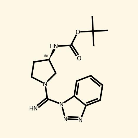 CC(C)(C)OC(=O)N[C@@H]1CCN(C(=N)n2nnc3ccccc32)C1